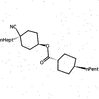 CCCCCCC[C@]1(C#N)CC[C@@H](OC(=O)[C@H]2CC[C@H](CCCCC)CC2)CC1